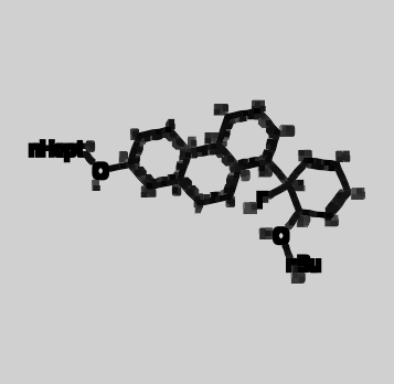 CCCCCCCOc1ccc2c(ccc3c(C4(F)C=CC=CC4OCCCC)cccc32)c1